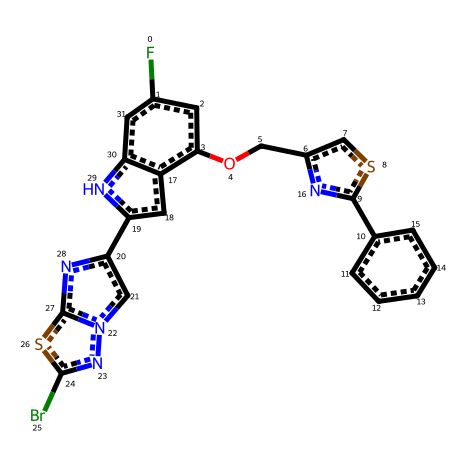 Fc1cc(OCc2csc(-c3ccccc3)n2)c2cc(-c3cn4nc(Br)sc4n3)[nH]c2c1